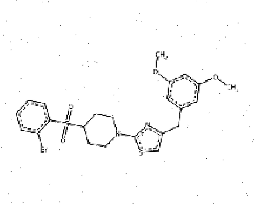 COc1cc(Cc2csc(N3CCC(S(=O)(=O)c4ccccc4Br)CC3)n2)cc(OC)c1